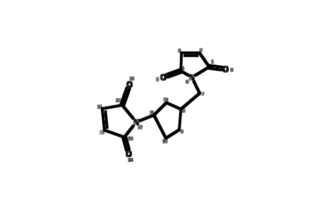 O=C1C=CC(=O)N1CC1CCC(N2C(=O)C=CC2=O)C1